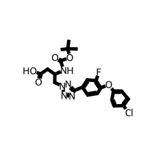 CC(C)(C)OC(=O)NC(CC(=O)O)Cn1nnc(-c2ccc(Oc3ccc(Cl)cc3)c(F)c2)n1